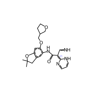 CC1(C)Cc2cc(NC(=O)/C(C=N)=C3\N=CC=CN3)c(OCC3CCOC3)cc2O1